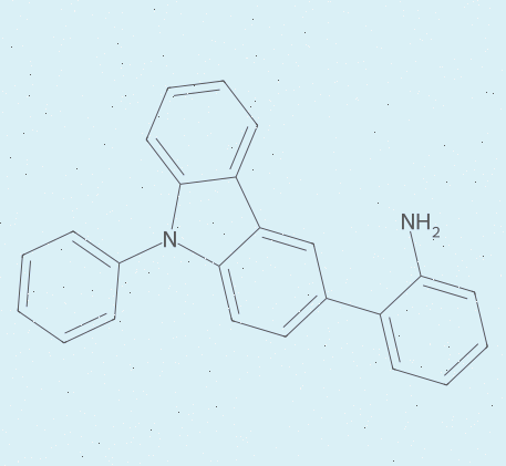 Nc1ccccc1-c1ccc2c(c1)c1ccccc1n2-c1ccccc1